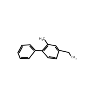 C[CH]c1ccc(-c2ccccc2)c(C)c1